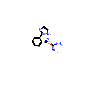 C#N.NC(N)=O.c1ccc(-c2ncc[nH]2)cc1